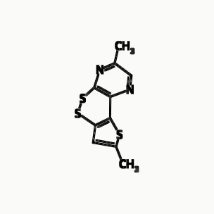 Cc1cnc2c(n1)SSc1cc(C)sc1-2